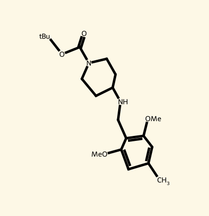 COc1cc(C)cc(OC)c1CNC1CCN(C(=O)OC(C)(C)C)CC1